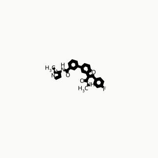 CNC(=O)c1c(-c2ccc(F)cc2)oc2ccc(-c3cccc(C(=O)Nc4ccnn4C)c3)cc12